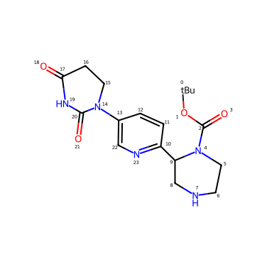 CC(C)(C)OC(=O)N1CCNCC1c1ccc(N2CCC(=O)NC2=O)cn1